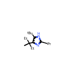 CCC(C)(CC)c1nc(C(C)C)[nH]c1C(C)(C)C